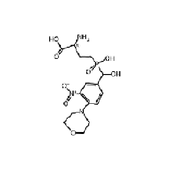 N[C@@H](CCP(=O)(O)C(O)c1ccc(N2CCOCC2)c([N+](=O)[O-])c1)C(=O)O